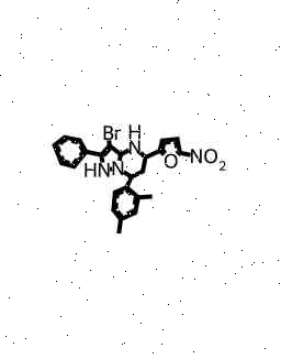 Cc1ccc(C2CC(c3ccc([N+](=O)[O-])o3)NC3C(Br)=C(c4ccccc4)NN32)c(C)c1